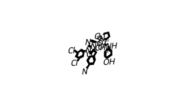 C[C@@]1(Cc2ccc(C#N)cc2)C(=O)N(c2cc(Cl)cc(Cl)c2)c2ncc(S(=O)(=O)N3CCC[C@H]3C(=O)Nc3ccc(O)cc3)n21